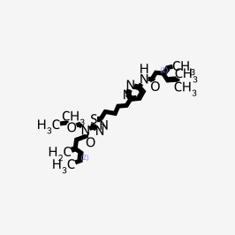 C=C(/C=C\C)CC(=O)N(COC(C)C)c1nnc(CCCCc2ccc(NC(=O)C/C(C=C(C)C)=C/C)nn2)s1